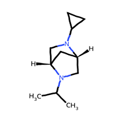 CC(C)N1C[C@@H]2C[C@H]1CN2C1CC1